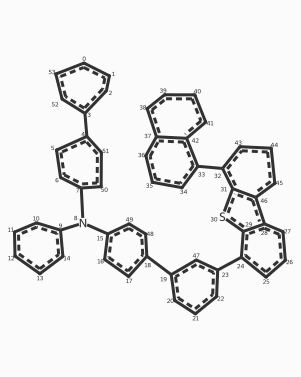 c1ccc(-c2ccc(N(c3ccccc3)c3ccc(-c4cccc(-c5cccc6c5sc5c(-c7cccc8ccccc78)cccc56)c4)cc3)cc2)cc1